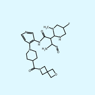 CN1CC(F)CNC1C(C(=O)Nc1cnccc1N1CCC(C(=O)N2CC3(COC3)C2)CC1)C(N)N=O